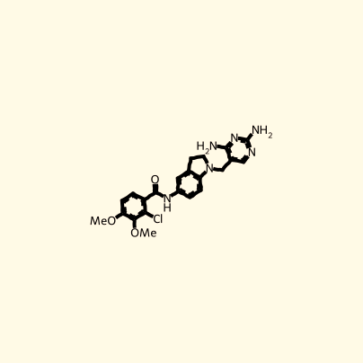 COc1ccc(C(=O)Nc2ccc3c(c2)CCN3Cc2cnc(N)nc2N)c(Cl)c1OC